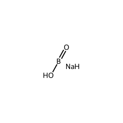 O=BO.[NaH]